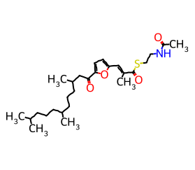 CC(=O)NCCSC(=O)/C(C)=C/c1ccc(C(=O)CC(C)CCCC(C)CCCC(C)C)o1